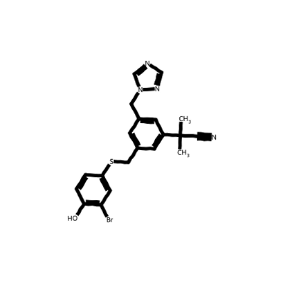 CC(C)(C#N)c1cc(CSc2ccc(O)c(Br)c2)cc(Cn2cncn2)c1